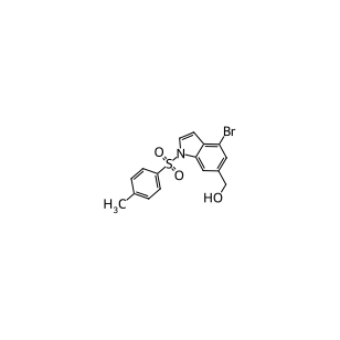 Cc1ccc(S(=O)(=O)n2ccc3c(Br)cc(CO)cc32)cc1